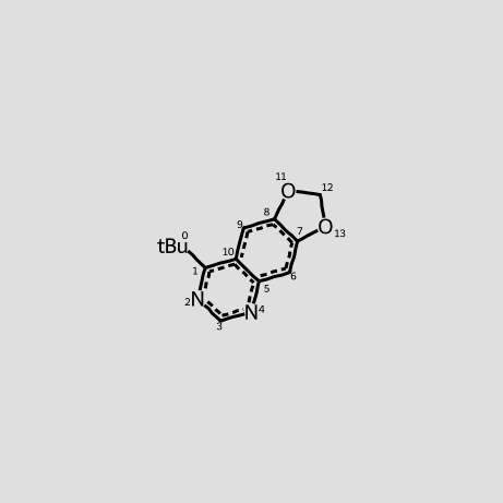 CC(C)(C)c1ncnc2cc3c(cc12)OCO3